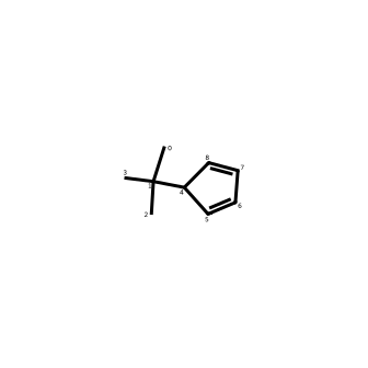 CC(C)(C)C1[C]=CC=C1